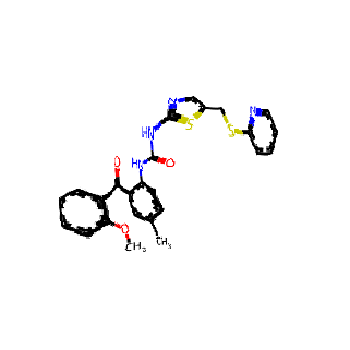 COc1ccccc1C(=O)c1cc(C)ccc1NC(=O)Nc1ncc(CSc2ccccn2)s1